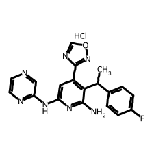 CC(c1ccc(F)cc1)c1c(-c2ncon2)cc(Nc2cnccn2)nc1N.Cl